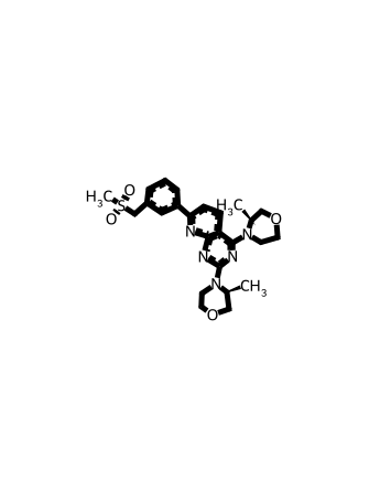 C[C@H]1COCCN1c1nc(N2CCOC[C@@H]2C)c2ccc(-c3cccc(CS(C)(=O)=O)c3)nc2n1